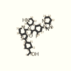 CC(O)c1ccc(-c2cc3c(N(C(=O)c4ccc(-n5nnc6cccnc65)cc4F)[C@@H]4CCCNC4)nccc3s2)cc1